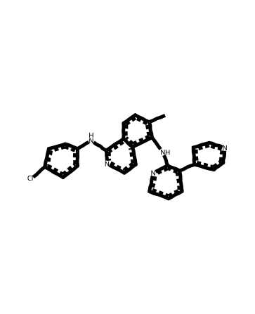 Cc1ccc2c(Nc3ccc(Cl)cc3)nccc2c1Nc1ncccc1-c1ccncc1